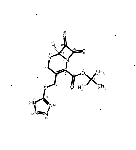 CC(C)(C)OC(=O)C1=C(CSc2nnn[nH]2)CS[C@H]2C(=O)C(=O)N12